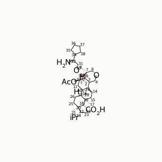 CC(=O)O[C@@H]1C[C@@]23COC[C@@](C)([C@@H]2CC[C@H]2C3=CC[C@@]3(C)[C@H](C(=O)O)[C@@](C)([C@H](C)C(C)C)CC[C@]23C)[C@H]1OCC(N)C1CCCC1